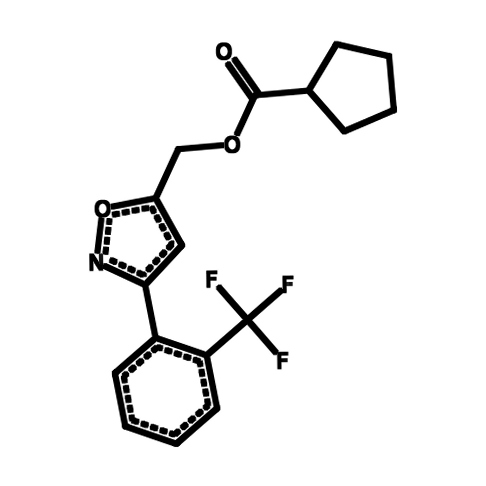 O=C(OCc1cc(-c2ccccc2C(F)(F)F)no1)C1CCCC1